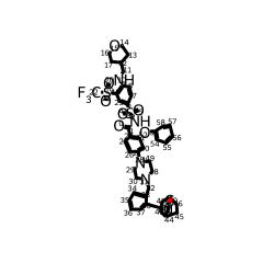 O=C(NS(=O)(=O)c1ccc(NCC2CCOCC2)c(S(=O)(=O)C(F)(F)F)c1)c1ccc(N2CCN(Cc3ccccc3N3CC4CCC(CC4)C3)CC2)cc1Oc1ccccc1